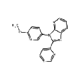 COc1ccc(-n2c(-c3ccccn3)nc3cccnc32)cn1